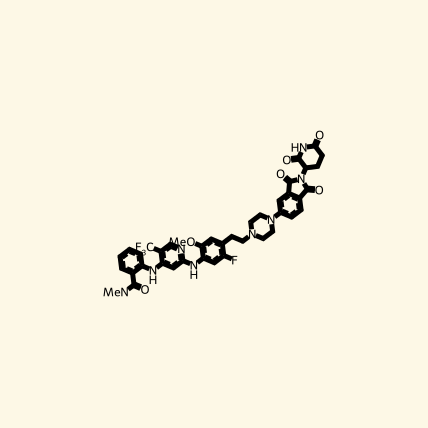 CNC(=O)c1ccccc1Nc1cc(Nc2cc(F)c(CCN3CCN(c4ccc5c(c4)C(=O)N(C4CCC(=O)NC4=O)C5=O)CC3)cc2OC)ncc1C(F)(F)F